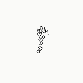 Cc1nc2ccc(-n3ccc(OCc4ccc(Cl)s4)cc3=O)cn2c1C